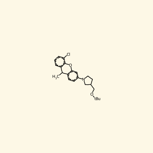 CC1c2ccc(N3CCC(COC(C)(C)C)C3)cc2Oc2c(Cl)cccc21